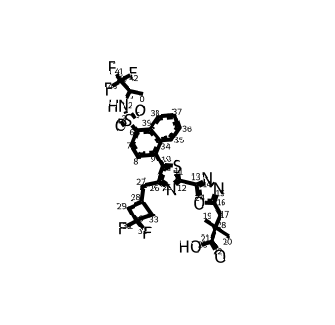 CC(NS(=O)(=O)c1ccc(-c2sc(-c3nnc(CC(C)(C)C(=O)O)o3)nc2CC2CC(F)(F)C2)c2ccccc12)C(F)(F)F